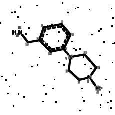 C[CH]N1CCN(c2cccc(CN)c2)CC1